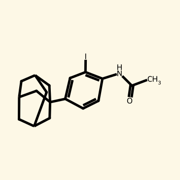 CC(=O)Nc1ccc(C23CC4CC(CC(C4)C2)C3)cc1I